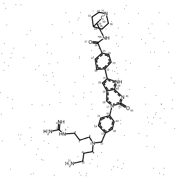 N=C(N)NCCCN(CCCN)Cc1ccc(-n2cc3cc(-c4ccc(C(=O)NC5CN6CCC5CC6)cc4)[nH]c3nc2=O)cc1